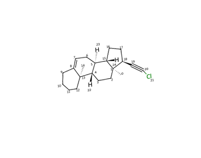 C[C@]12CC[C@H]3[C@@H](CC=C4CCCC[C@@]43C)[C@@H]1CC[C@H]2C#CCl